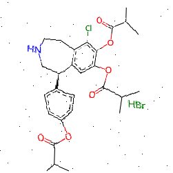 Br.CC(C)C(=O)Oc1ccc([C@H]2CNCCc3c2cc(OC(=O)C(C)C)c(OC(=O)C(C)C)c3Cl)cc1